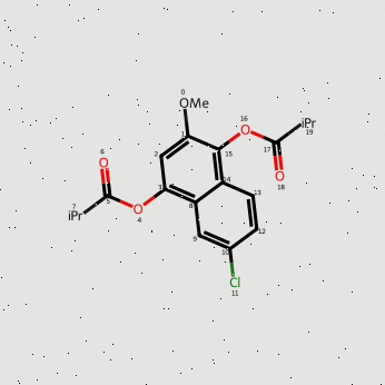 COc1cc(OC(=O)C(C)C)c2cc(Cl)ccc2c1OC(=O)C(C)C